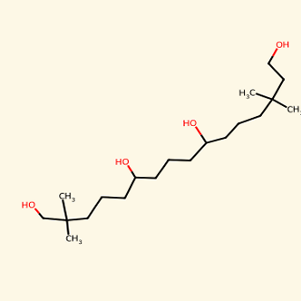 CC(C)(CO)CCCC(O)CCCC(O)CCCC(C)(C)CCO